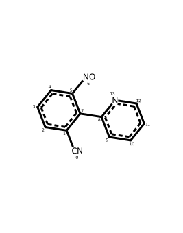 N#Cc1cccc(N=O)c1-c1ccccn1